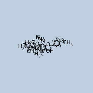 COc1ccc(COC2C(N=[N+]=[N-])[C@@H](O[Si](C)(C)C(C)(C)C(C)C)O[C@@H](C)C2O)cc1